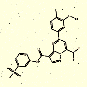 CCOc1cc(-c2cc(C(F)F)n3ncc(C(=O)Nc4cccc(S(C)(=O)=O)c4)c3n2)ccc1C(F)(F)F